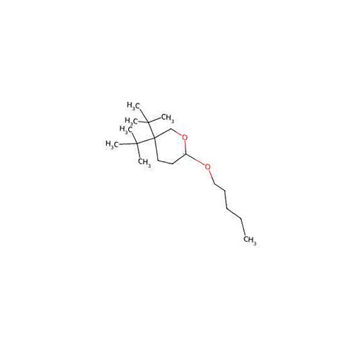 CCCCCO[C]1CCC(C(C)(C)C)(C(C)(C)C)CO1